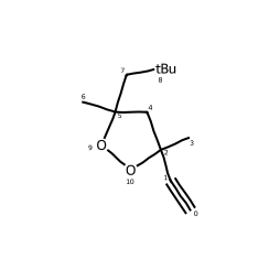 C#CC1(C)CC(C)(CC(C)(C)C)OO1